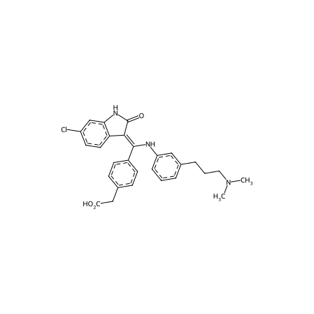 CN(C)CCCc1cccc(N/C(=C2\C(=O)Nc3cc(Cl)ccc32)c2ccc(CC(=O)O)cc2)c1